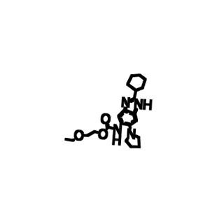 CCOCCOC(=O)Nc1cc2nc(C3CCCCC3)[nH]c2cc1N1CCCC1